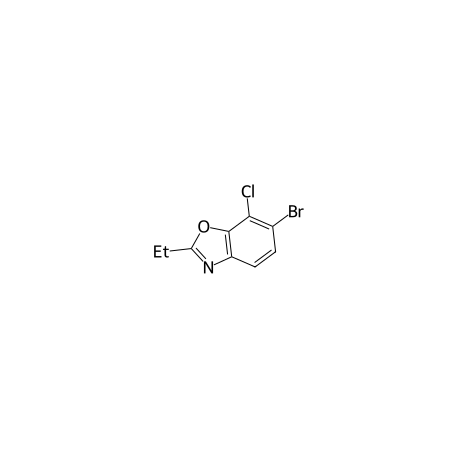 CCc1nc2ccc(Br)c(Cl)c2o1